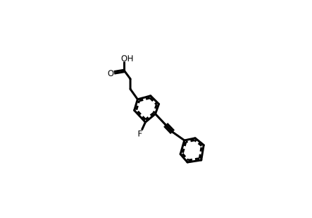 O=C(O)CCc1ccc(C#Cc2ccccc2)c(F)c1